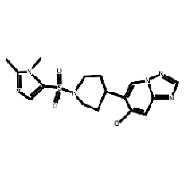 Cc1ncc(S(=O)(=O)N2CCC(c3cn4ncnc4cc3Cl)CC2)n1C